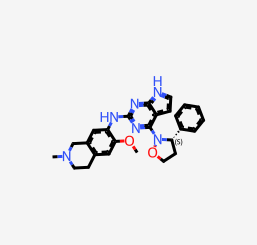 COc1cc2c(cc1Nc1nc(N3OCC[C@H]3c3ccccc3)c3cc[nH]c3n1)CN(C)CC2